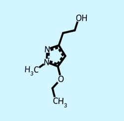 CCOc1cc(CCO)nn1C